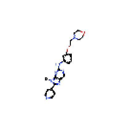 CCn1c(-c2ccncc2)nc2cnc(Nc3cccc(OCCN4CCOCC4)c3)nc21